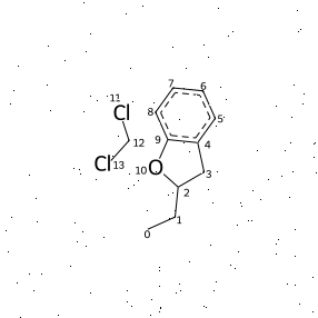 CCC1Cc2ccccc2O1.ClCCl